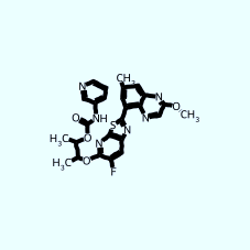 COc1cnc2c(-c3nc4cc(F)c(OC(C)C(C)OC(=O)Nc5cccnc5)nc4s3)cc(C)cc2n1